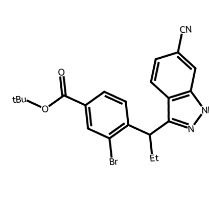 CCC(c1ccc(C(=O)OC(C)(C)C)cc1Br)c1n[nH]c2cc(C#N)ccc12